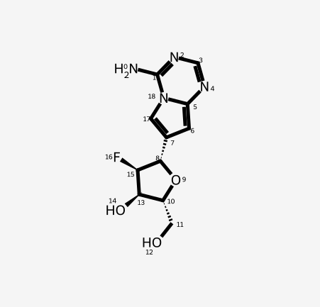 Nc1ncnc2cc([C@@H]3O[C@H](CO)[C@@H](O)[C@H]3F)cn12